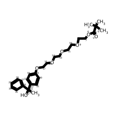 CC(C)(C)C(=O)OCCOCCOCCOCCOc1ccc(C(C)(O)c2ccccc2)cc1